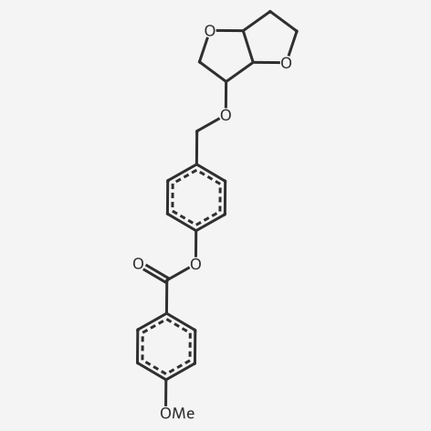 COc1ccc(C(=O)Oc2ccc(COC3COC4CCOC43)cc2)cc1